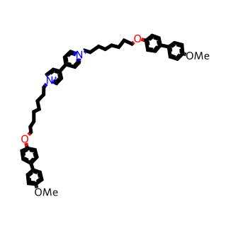 COc1ccc(-c2ccc(OCCCCCCCC[n+]3ccc(-c4cc[n+](CCCCCCCCOc5ccc(-c6ccc(OC)cc6)cc5)cc4)cc3)cc2)cc1